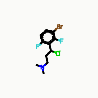 CN(C)CCC(Cl)c1c(F)ccc(Br)c1F